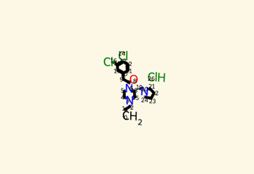 C=CCN1CCN(C(=O)Cc2ccc(Cl)c(Cl)c2)[C@H](CN2CCCC2)C1.Cl